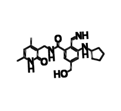 Cc1cc(C)c(CNC(=O)c2cc(CO)cc(NC3CCCC3)c2C=N)c(=O)[nH]1